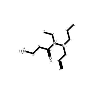 C=CCN(CCC)N(CC)C(=O)CCN